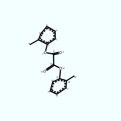 Cc1ccccc1OC(=O)C(=O)Oc1ccccc1C